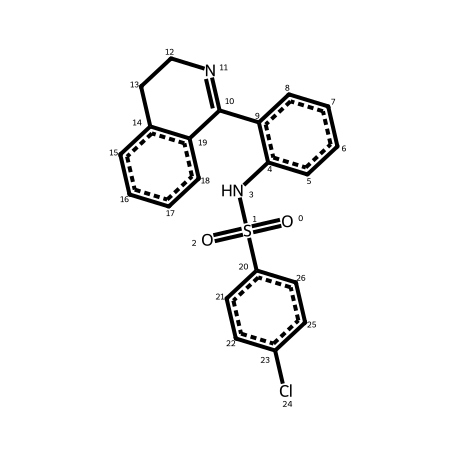 O=S(=O)(Nc1ccccc1C1=NCCc2ccccc21)c1ccc(Cl)cc1